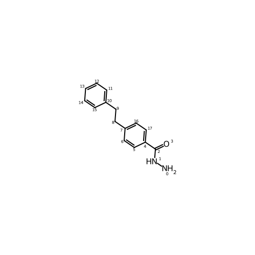 NNC(=O)c1ccc(CCc2ccccc2)cc1